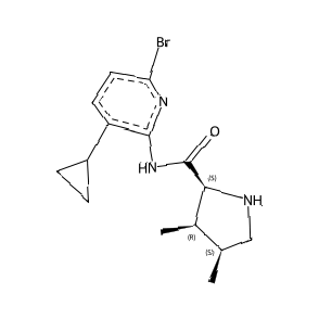 C[C@@H]1[C@H](C)CN[C@@H]1C(=O)Nc1nc(Br)ccc1C1CC1